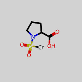 O=C(O)C1CCCN1[S](=O)(=O)[Cr]